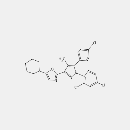 Cc1c(-c2ncc(C3CCCCC3)o2)nn(-c2ccc(Cl)cc2Cl)c1-c1ccc(Cl)cc1